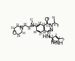 Cc1cc(Nc2nn(C(C)C)c(=O)c3cc(N(C)CCN4CCOCC4)ccc23)n[nH]1